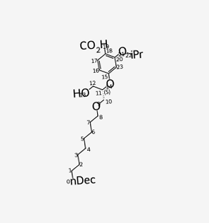 CCCCCCCCCCCCCCCCCCOC[C@H](CO)Oc1ccc(C(=O)O)c(OC(C)C)c1